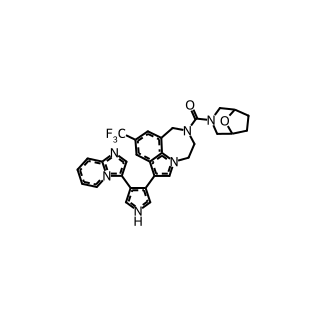 O=C(N1CCn2cc(-c3c[nH]cc3-c3cnc4ccccn34)c3cc(C(F)(F)F)cc(c32)C1)N1CC2CCC(C1)O2